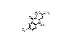 CN(C)CCN(C)c1ccc([N+](=O)[O-])cc1C(=O)OC(C)(C)C